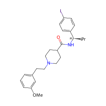 COc1cccc(CCN2CCC(C(=O)N[C@@H](c3ccc(I)cc3)C(C)C)CC2)c1